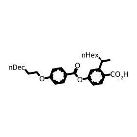 CCCCCCCCCCCCOc1ccc(C(=O)Oc2ccc(C(=O)O)c([C@H](C)CCCCCC)c2)cc1